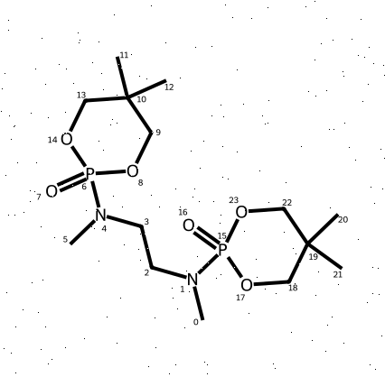 CN(CCN(C)P1(=O)OCC(C)(C)CO1)P1(=O)OCC(C)(C)CO1